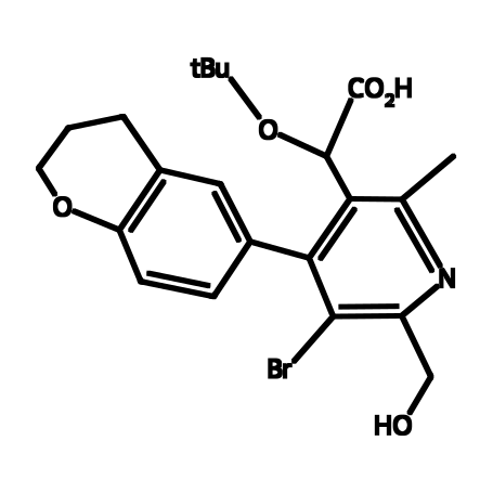 Cc1nc(CO)c(Br)c(-c2ccc3c(c2)CCCO3)c1C(OC(C)(C)C)C(=O)O